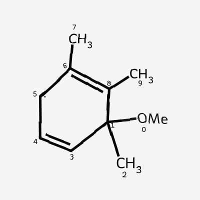 COC1(C)C=C[CH]C(C)=C1C